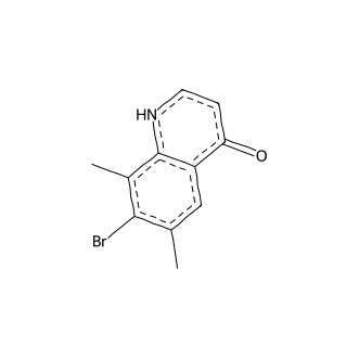 Cc1cc2c(=O)cc[nH]c2c(C)c1Br